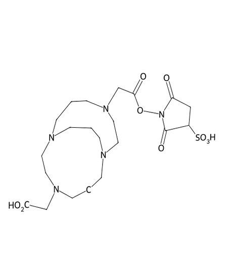 O=C(O)CN1CCCN2CCCN(CCCN(CC(=O)ON3C(=O)CC(S(=O)(=O)O)C3=O)CC2)CC1